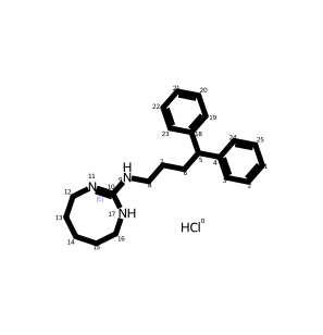 Cl.c1ccc(C(CCCN/C2=N/CCCCCN2)c2ccccc2)cc1